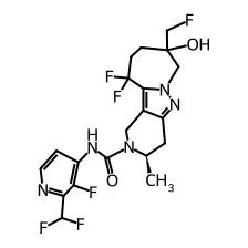 C[C@@H]1Cc2nn3c(c2CN1C(=O)Nc1ccnc(C(F)F)c1F)C(F)(F)CCC(O)(CF)C3